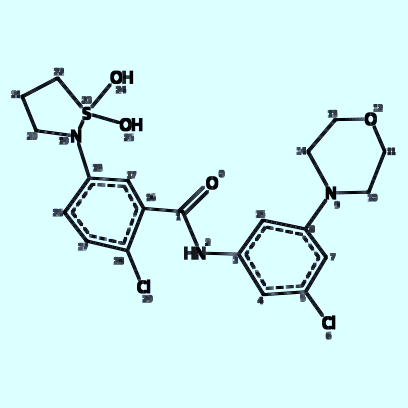 O=C(Nc1cc(Cl)cc(N2CCOCC2)c1)c1cc(N2CCCS2(O)O)ccc1Cl